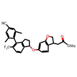 COC(=O)CC1COc2cc(O[C@@H]3CCc4c3ccc(C(F)(F)F)c4-c3c(C)cc(C#N)cc3C)ccc21